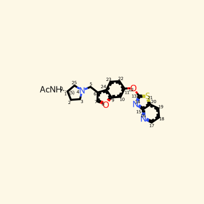 CC(=O)N[C@H]1CCN(Cc2coc3cc(Oc4nc5ncccc5s4)ccc23)C1